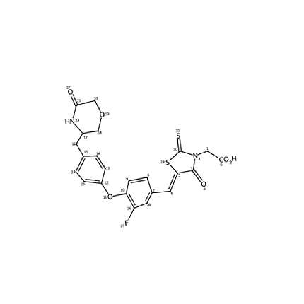 O=C(O)CN1C(=O)/C(=C/c2ccc(Oc3ccc(CC4COCC(=O)N4)cc3)c(F)c2)SC1=S